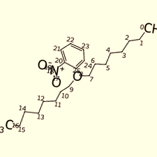 CCCCCCCCOCCCCCCCC.O=[N+]([O-])c1ccccc1